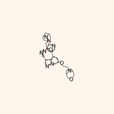 CN(C)C(=O)CCN1C2CC1CN(c1ccc(-c3cc(OCCN4C5CCC4COC5)cn4ncc(C#N)c34)cn1)C2